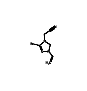 C=CN1CN(CC#N)C(Br)=N1